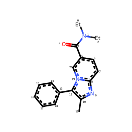 CCN(CC)C(=O)c1ccc2nc(C)c(-c3ccccc3)n2c1